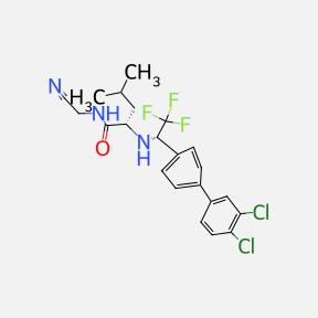 CC(C)C[C@H](N[C@@H](c1ccc(-c2ccc(Cl)c(Cl)c2)cc1)C(F)(F)F)C(=O)NCC#N